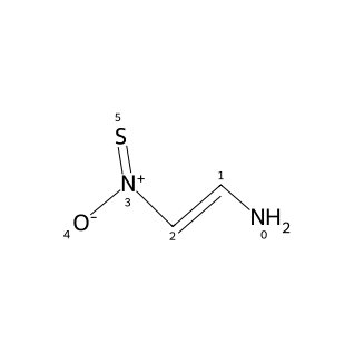 NC=C[N+]([O-])=S